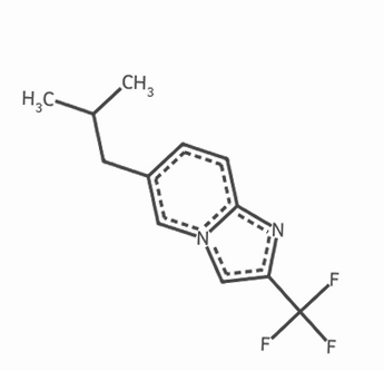 CC(C)Cc1ccc2nc(C(F)(F)F)cn2c1